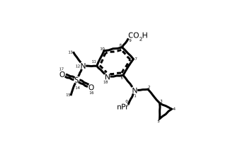 CCCN(CC1CC1)c1cc(C(=O)O)cc(N(C)S(C)(=O)=O)n1